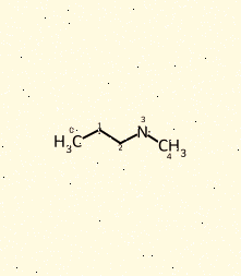 C[CH]C[N]C